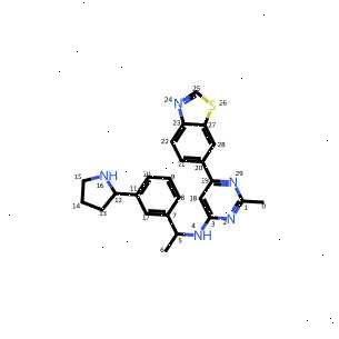 Cc1nc(NC(C)c2cccc(C3CCCN3)c2)cc(-c2ccc3ncsc3c2)n1